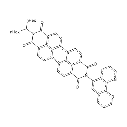 CCCCCCC(CCCCCC)N1C(=O)c2ccc3c4ccc5c6c(ccc(c7ccc(c2c37)C1=O)c64)C(=O)N(c1cc2cccnc2c2ncccc12)C5=O